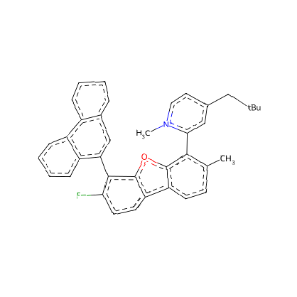 Cc1ccc2c(oc3c(-c4cc5ccccc5c5ccccc45)c(F)ccc32)c1-c1cc(CC(C)(C)C)cc[n+]1C